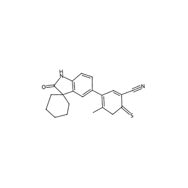 CC1=C(c2ccc3c(c2)C2(CCCCC2)C(=O)N3)C=C(C#N)C(=S)C1